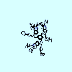 CCOC(=O)/C(C#N)=C\c1ccc(N(CCO)Cc2cc(CN(CCOCC3CO3)c3ccc(/C=C(/C#N)C(=O)OCC)cc3)cc(CN(CCOCC3CO3)c3ccc(/C=C(/C#N)C(=O)OCC)cc3)c2)cc1